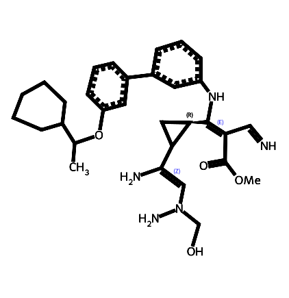 COC(=O)/C(C=N)=C(/Nc1cccc(-c2cccc(OC(C)C3CCCCC3)c2)c1)[C@@H]1CC1/C(N)=C/N(N)CO